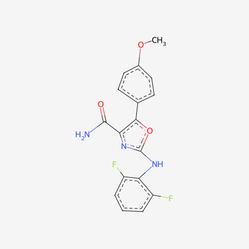 COc1ccc(-c2oc(Nc3c(F)cccc3F)nc2C(N)=O)cc1